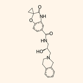 O=C(NC[C@H](O)CN1CCc2ccccc2C1)c1ccc2c(c1)NC(=O)C1(CC1)O2